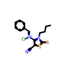 CCCCn1c([N+](Cl)=Cc2ccccc2)c(C#N)sc1=S